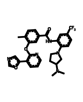 Cc1ccc(C(=O)Nc2cc(C(F)(F)F)ccc2N2CCC(N(C)C)C2)cc1Oc1ncccc1-c1cnco1